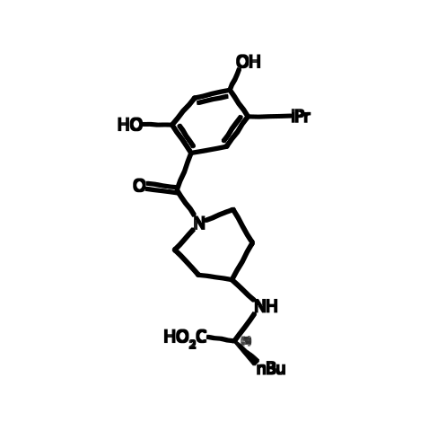 CCCC[C@H](NC1CCN(C(=O)c2cc(C(C)C)c(O)cc2O)CC1)C(=O)O